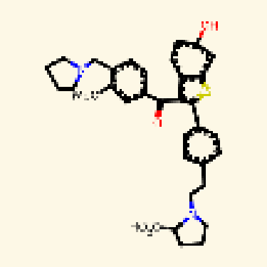 COc1cc(C(=O)c2c(-c3ccc(CCN4CCCC4C(=O)O)cc3)sc3cc(O)ccc23)ccc1CN1CCCC1